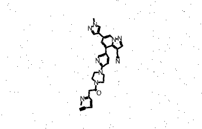 C#C/C=C\C(CC(=O)N1CCN(c2ccc(-c3cc(-c4cnn(C)c4)cn4ncc(C#N)c34)cn2)CC1)=N/C